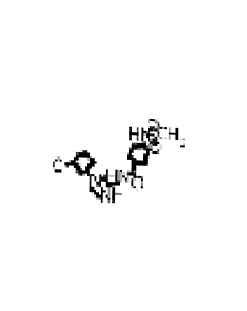 CS(=O)(=O)Nc1ccc(C(=O)NCC2CN(c3cccc(Cl)c3)CCN2)cc1